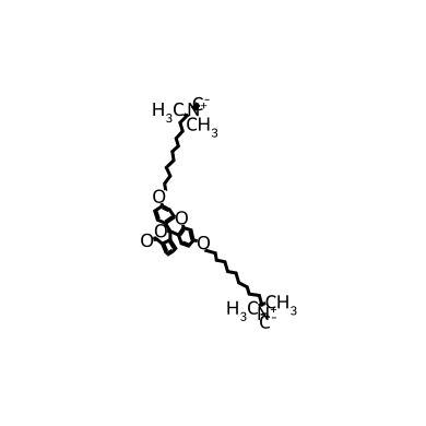 [C-]#[N+]C(C)(C)CCCCCCCCCCOc1ccc2c(c1)Oc1cc(OCCCCCCCCCCC(C)(C)[N+]#[C-])ccc1C21OC(=O)c2ccccc21